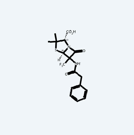 CC1(C)S[C@H]2N(C(=O)C2(NC(=O)Cc2ccccc2)C(F)(F)F)[C@H]1C(=O)O